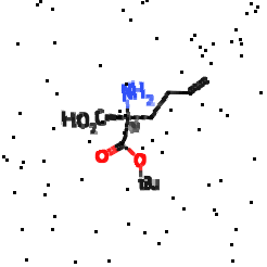 C=CCC[C@](N)(C(=O)O)C(=O)OC(C)(C)C